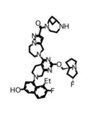 CCc1c(F)ccc2cc(O)cc(N3CCc4c(nc(OC[C@@]56CCCN5C[C@H](F)C6)nc4N4CCCn5nc(C(=O)N6CCNC7CC6C7)cc5C4)C3)c12